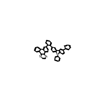 c1ccc(-c2ccc3c(c2)c2cc(-c4ccccc4-c4ccc5c(c4)c4ccccc4c4nccnc54)ccc2n3-c2ccccc2)cc1